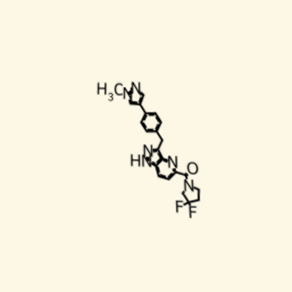 Cn1cc(-c2ccc(Cc3n[nH]c4ccc(C(=O)N5CCC(F)(F)C5)nc34)cc2)cn1